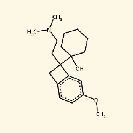 COc1ccc2c(c1)C(CCN(C)C)(C1(O)CCCCC1)C2